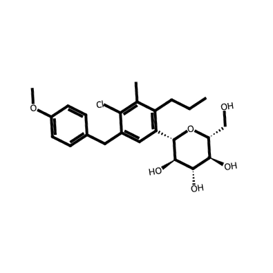 CCCc1c([C@@H]2O[C@H](CO)[C@@H](O)[C@H](O)[C@H]2O)cc(Cc2ccc(OC)cc2)c(Cl)c1C